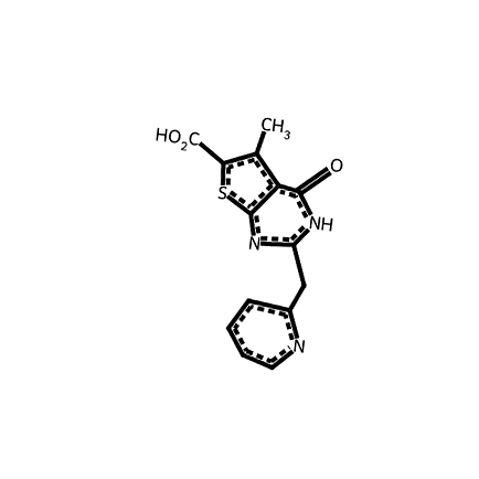 Cc1c(C(=O)O)sc2nc(Cc3ccccn3)[nH]c(=O)c12